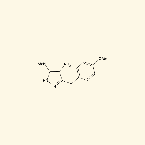 CNc1[nH]nc(Cc2ccc(OC)cc2)c1N